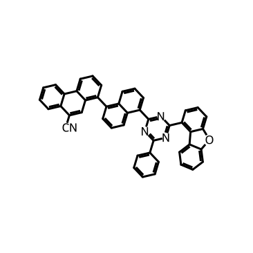 N#Cc1cc2c(-c3cccc4c(-c5nc(-c6ccccc6)nc(-c6cccc7oc8ccccc8c67)n5)cccc34)cccc2c2ccccc12